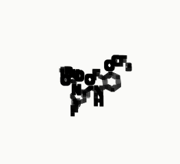 CC(C)(C)OC(=O)N1C[C@H](F)C[C@@H]1C(=O)Nc1cccc(OC(F)(F)F)c1F